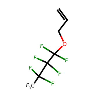 C=CCOC(F)(F)C(F)(F)C(F)(F)C(F)(F)F